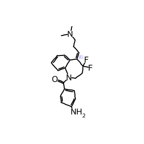 CN(C)CC/C=C1\c2ccccc2N(C(=O)c2ccc(N)cc2)CCC1(F)F